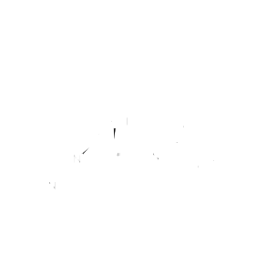 CC(C)(C)OC(=O)N1CCC[C@](O)([C@@H]2c3ccccc3-c3cncn32)C1